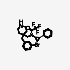 O=C(N(CC1(Cc2cccc(Br)c2)CCNCC1)[C@@H]1C[C@H]1c1ccccc1)C(F)(F)F